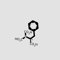 O=C(O)[C@H](Cc1ccccc1)N(C(=O)O)C(=O)O